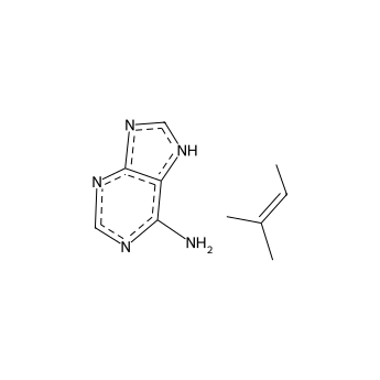 CC=C(C)C.Nc1ncnc2nc[nH]c12